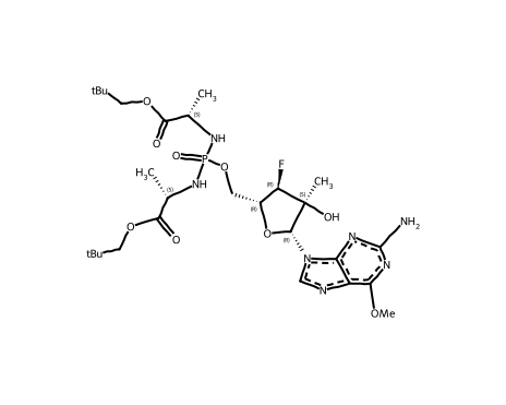 COc1nc(N)nc2c1ncn2[C@@H]1O[C@H](COP(=O)(N[C@@H](C)C(=O)OCC(C)(C)C)N[C@@H](C)C(=O)OCC(C)(C)C)[C@@H](F)[C@@]1(C)O